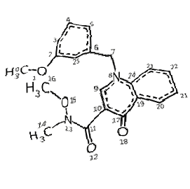 COc1cccc(Cn2cc(C(=O)N(C)OC)c(=O)c3ccccc32)c1